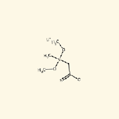 CO[Si](C)(CC([O-])=S)OC.[Li+]